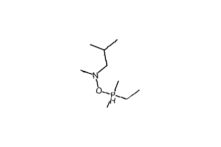 CC[PH](C)(C)ON(C)CC(C)C